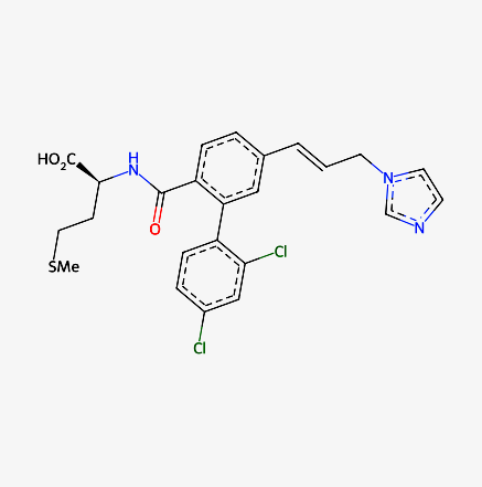 CSCC[C@H](NC(=O)c1ccc(C=CCn2ccnc2)cc1-c1ccc(Cl)cc1Cl)C(=O)O